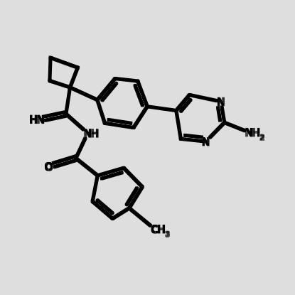 Cc1ccc(C(=O)NC(=N)C2(c3ccc(-c4cnc(N)nc4)cc3)CCC2)cc1